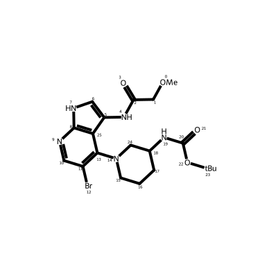 COCC(=O)Nc1c[nH]c2ncc(Br)c(N3CCCC(NC(=O)OC(C)(C)C)C3)c12